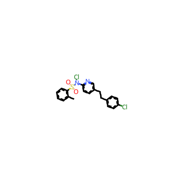 Cc1ccccc1S(=O)(=O)N(Cl)c1ccc(CCc2ccc(Cl)cc2)cn1